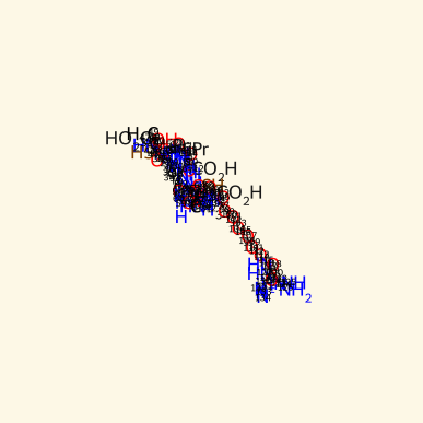 CC(C)C[C@@H](CNCC(=O)N[C@@H](CCC(=O)O)C(=O)N[C@@H](CC(C)C)C(=O)N[C@H](C(=O)N[C@@H](Cc1c[nH]c2ccccc12)C(=O)N[C@@H](CS)C(=O)N[C@H](C(=O)O)[C@@H](C)O)C(C)C)NC(=O)[C@H](Cc1c[nH]cn1)NC(=O)[C@H](Cc1c[nH]c2ccccc12)NC(=O)[C@H](C)NC(=O)[C@H](CS)NC(=O)[C@H](CC(=O)O)NC(=O)CCOCCOCCOCCOCCOCCOCCNC(=O)[C@@H](CCCNC(=N)N)NC(=O)CCN=[N+]=[N-]